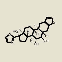 C[C@]12Cc3cn[nH]c3C[C@@H]1[C@@H](O)[C@H](O)[C@@H]1[C@@H]2CC[C@@]2(C)[C@H]1CC[C@@]2(O)c1nccs1